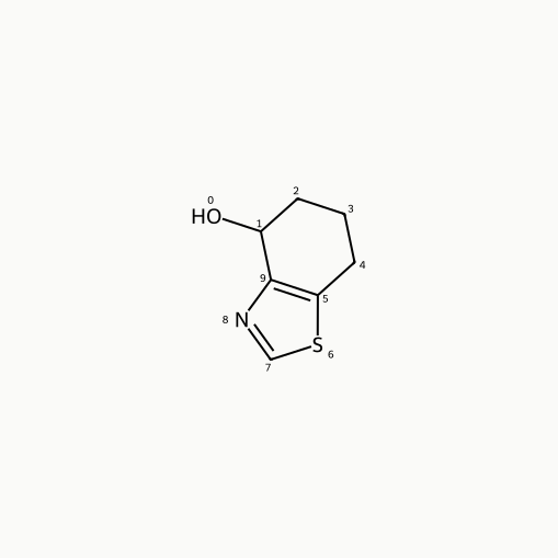 OC1CCCc2scnc21